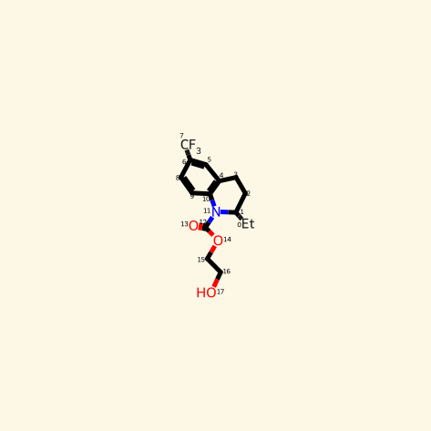 CCC1CCc2cc(C(F)(F)F)ccc2N1C(=O)OCCO